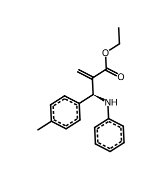 C=C(C(=O)OCC)[C@@H](Nc1ccccc1)c1ccc(C)cc1